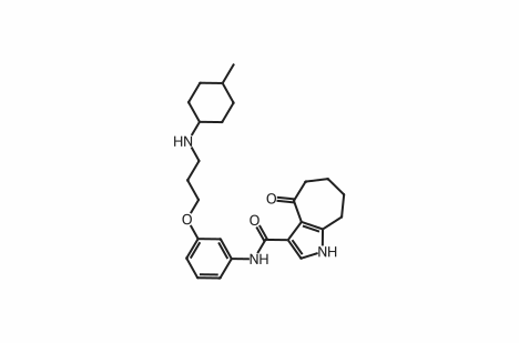 CC1CCC(NCCCOc2cccc(NC(=O)c3c[nH]c4c3C(=O)CCCC4)c2)CC1